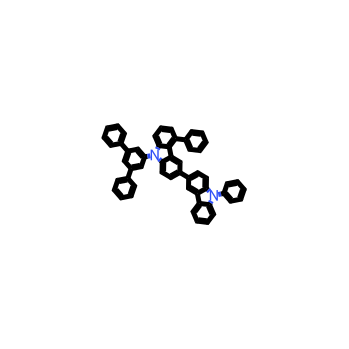 c1ccc(-c2cc(-c3ccccc3)cc(-n3c4ccc(-c5ccc6c(c5)c5ccccc5n6-c5ccccc5)cc4c4c(-c5ccccc5)cccc43)c2)cc1